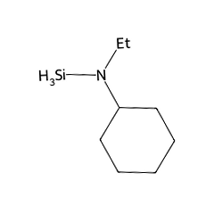 CCN([SiH3])C1CCCCC1